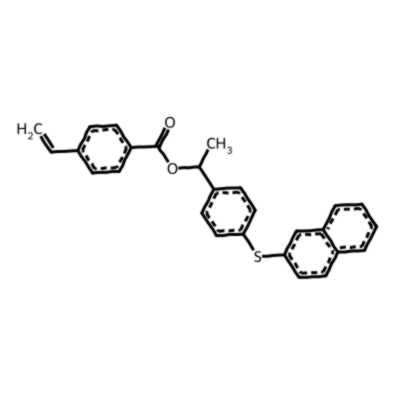 C=Cc1ccc(C(=O)OC(C)c2ccc(Sc3ccc4ccccc4c3)cc2)cc1